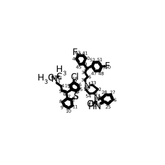 CN(C)CC/C=C1/c2ccccc2Sc2ccc(Cl)cc21.O=c1[nH]c2ccccc2n1C1CCN(CCCC(c2ccc(F)cc2)c2ccc(F)cc2)CC1